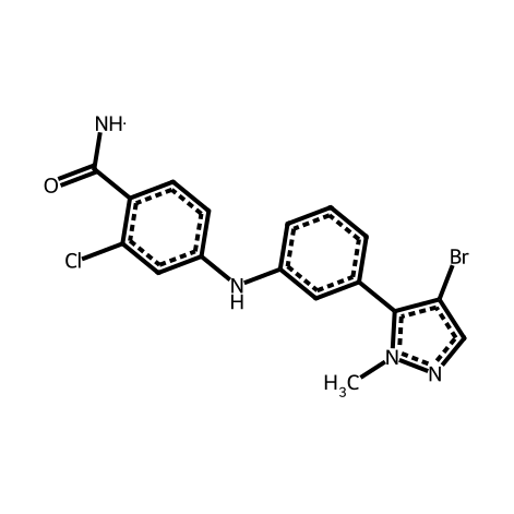 Cn1ncc(Br)c1-c1cccc(Nc2ccc(C([NH])=O)c(Cl)c2)c1